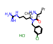 CC(C)C[C@H](N)C(=O)N(Cc1cccc(Cl)c1)[C@H](C=O)CCCNC(=N)N.Cl